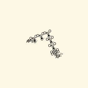 O=[Si]([O-])[O-].O=[Si]([O-])[O-].O=[Si]([O-])[O-].O=[Si]([O-])[O-].O=[Si]([O-])[O-].O=[Si]=O.O=[Si]=O.[Al+3].[Al+3].[Mg+2].[Mg+2]